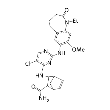 CCN1C(=O)CCCc2cc(Nc3ncc(Cl)c(NC4C5C=CC(C5)C4C(N)=O)n3)c(OC)cc21